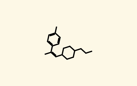 CCCC1CCC(C=C(C)c2ccc(C)cc2)CC1